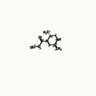 C[C@@H]1CN[C@@H](C)CN1C(=O)OC(C)(C)C